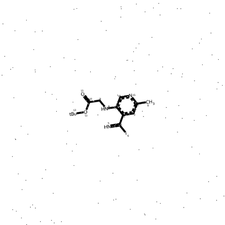 Cc1cc(C(=N)I)c(NCC(=O)OC(C)(C)C)cn1